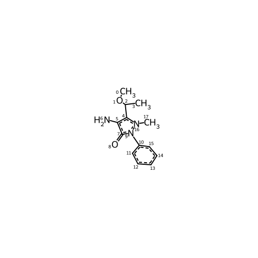 COC(C)c1c(N)c(=O)n(-c2ccccc2)n1C